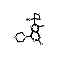 Cc1c(C2(O)COC2)sc2c(N3CCOCC3)nc(Cl)nc12